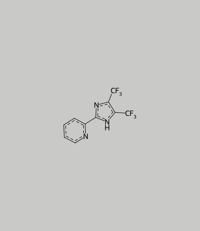 FC(F)(F)c1nc(-c2ccccn2)[nH]c1C(F)(F)F